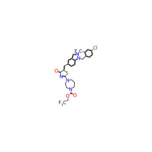 O=C1N=C(N2CCCN(C(=O)OCC(F)(F)F)CC2)S/C1=C\c1ccc2c(cnn2Cc2ccc(Cl)cc2C(F)(F)F)c1